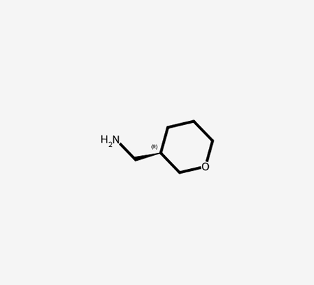 NC[C@H]1CCCOC1